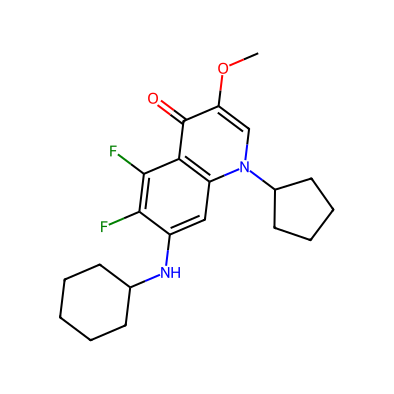 COc1cn(C2CCCC2)c2cc(NC3CCCCC3)c(F)c(F)c2c1=O